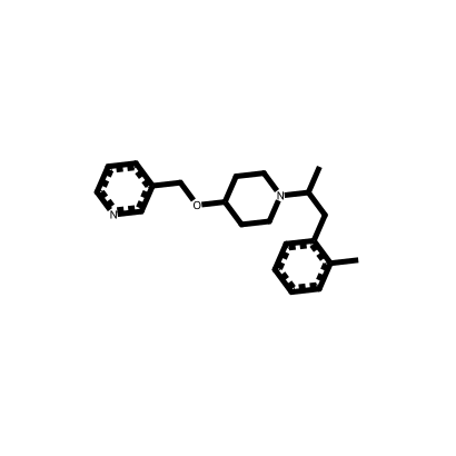 Cc1ccccc1CC(C)N1CCC(OCc2cccnc2)CC1